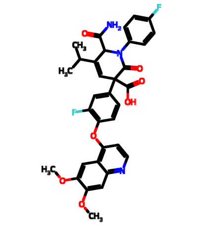 COc1cc2nccc(Oc3ccc(C4(C(=O)O)C=C(C(C)C)C(C(N)=O)N(c5ccc(F)cc5)C4=O)cc3F)c2cc1OC